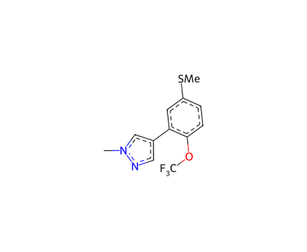 CSc1ccc(OC(F)(F)F)c(-c2cnn(C)c2)c1